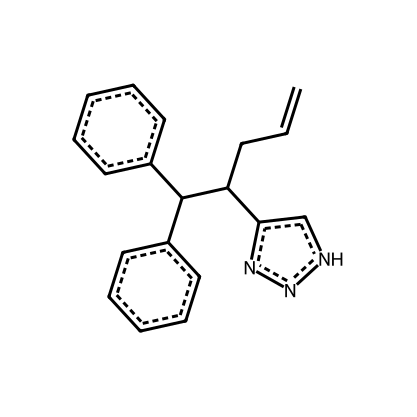 C=CCC(c1c[nH]nn1)C(c1ccccc1)c1ccccc1